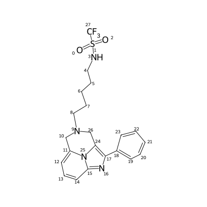 O=S(=O)(NCCCCCN1Cc2cccc3nc(-c4ccccc4)c(n23)C1)C(F)(F)F